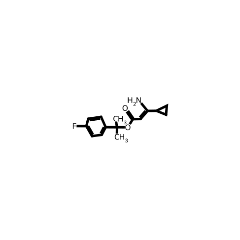 CC(C)(OC(=O)/C=C(\N)C1CC1)c1ccc(F)cc1